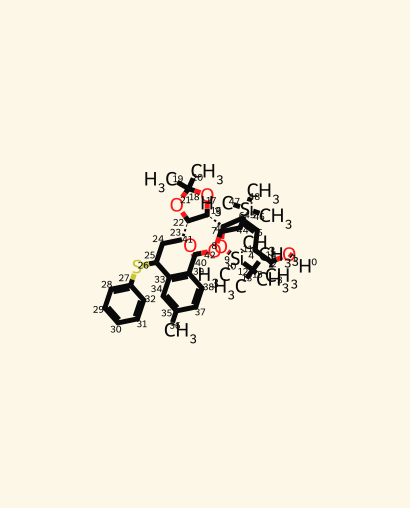 [3H]O[C@@H](C)C/C=C\C(O[Si](C)(C)C(C)(C)C)[C@H]1OC(C)(C)O[C@H]1CCC(Sc1ccccc1)c1cc(C)ccc1C(=O)OCC[Si](C)(C)C